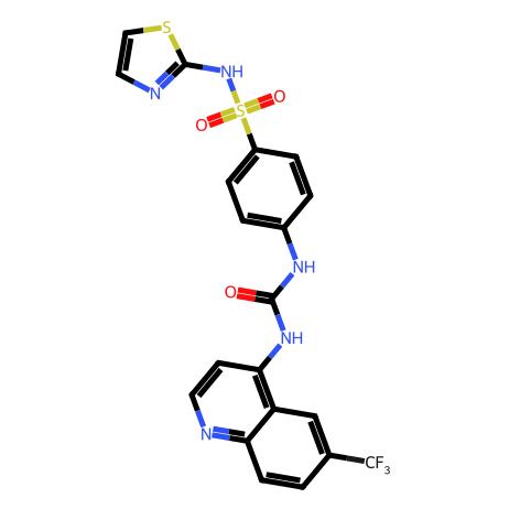 O=C(Nc1ccc(S(=O)(=O)Nc2nccs2)cc1)Nc1ccnc2ccc(C(F)(F)F)cc12